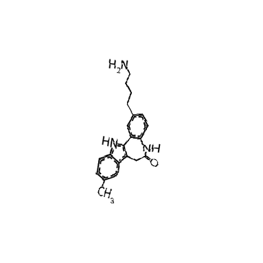 Cc1ccc2[nH]c3c(c2c1)CC(=O)Nc1ccc(CCCCN)cc1-3